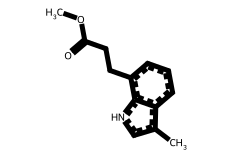 COC(=O)CCc1cccc2c(C)c[nH]c12